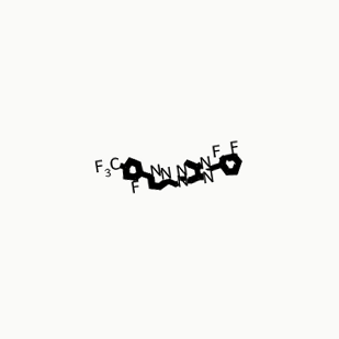 Fc1cc(C(F)(F)F)ccc1-c1ccc(Cn2cc3nc(-c4cccc(F)c4F)nc-3cn2)nn1